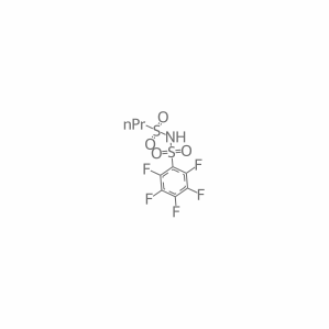 CCCS(=O)(=O)NS(=O)(=O)c1c(F)c(F)c(F)c(F)c1F